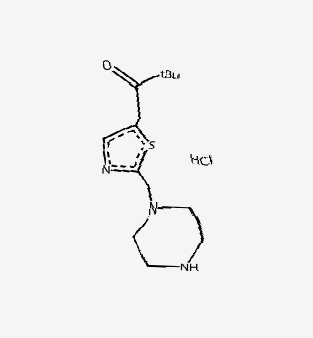 CC(C)(C)C(=O)c1cnc(N2CCNCC2)s1.Cl